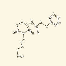 O=C(O)CCCCN1C(=O)CC[C@H](NC(=O)OCc2ccccc2)C1=O